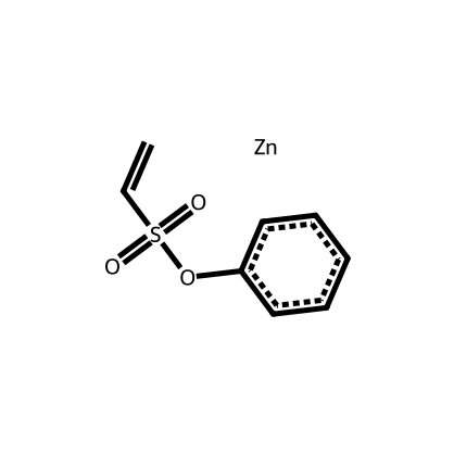 C=CS(=O)(=O)Oc1ccccc1.[Zn]